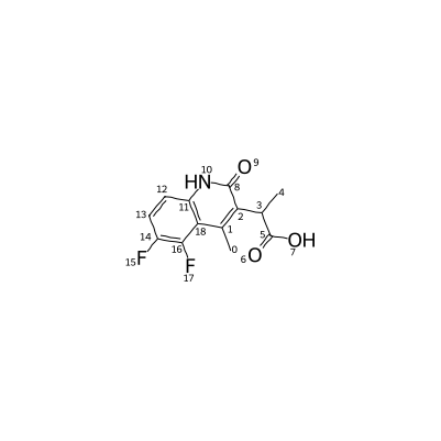 Cc1c(C(C)C(=O)O)c(=O)[nH]c2ccc(F)c(F)c12